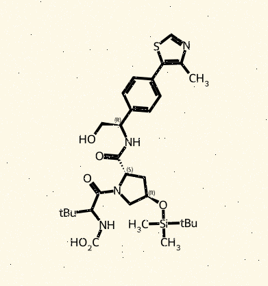 Cc1ncsc1-c1ccc([C@H](CO)NC(=O)[C@@H]2C[C@@H](O[Si](C)(C)C(C)(C)C)CN2C(=O)C(NC(=O)O)C(C)(C)C)cc1